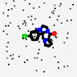 O=C1c2cccn2CC2(c3ccc(Cl)cc3)NCCN12